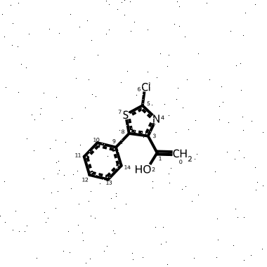 C=C(O)c1nc(Cl)sc1-c1ccccc1